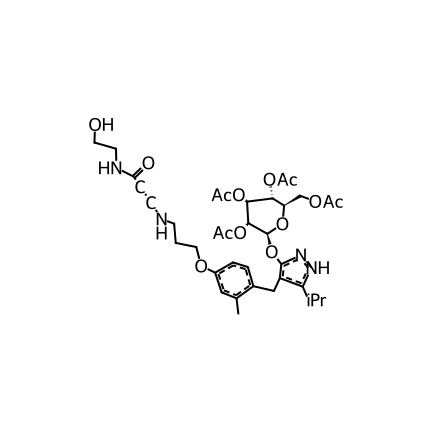 CC(=O)OC[C@H]1O[C@@H](Oc2n[nH]c(C(C)C)c2Cc2ccc(OCCCNCCC(=O)NCCO)cc2C)[C@H](OC(C)=O)[C@@H](OC(C)=O)[C@@H]1OC(C)=O